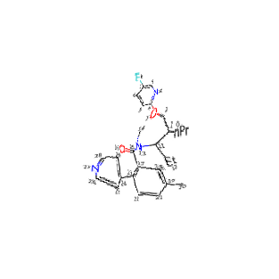 CCCC(COc1ccc(F)cn1)C(CC)N(C)C(=O)c1cc(C)ccc1-c1ccncc1